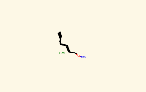 C#CCC=CCON.Cl